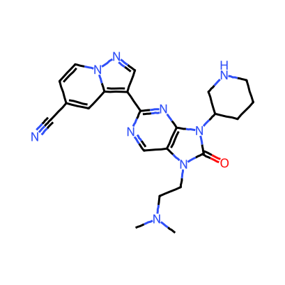 CN(C)CCn1c(=O)n(C2CCCNC2)c2nc(-c3cnn4ccc(C#N)cc34)ncc21